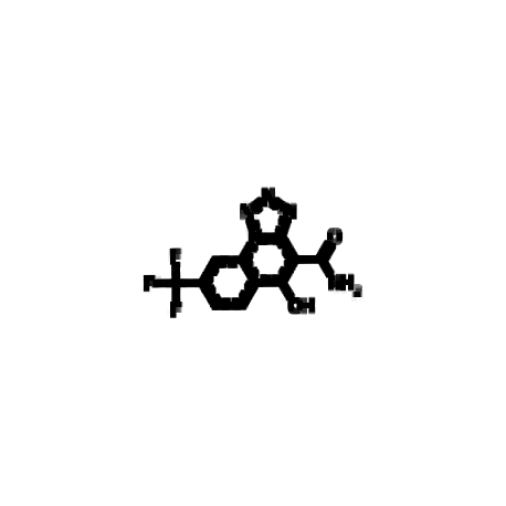 NC(=O)c1c(O)c2ccc(C(F)(F)F)cc2n2nnnc12